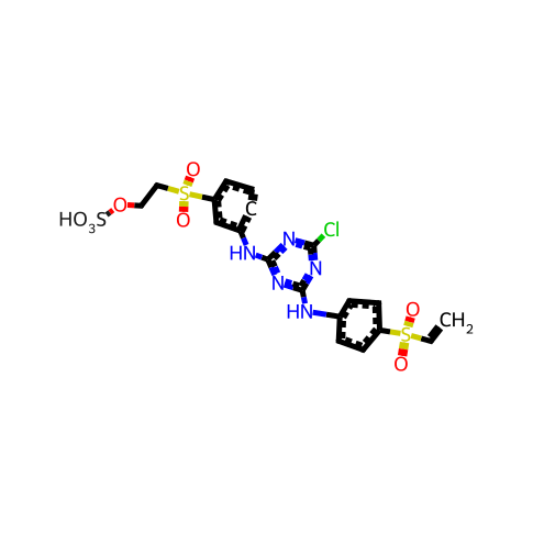 C=CS(=O)(=O)c1ccc(Nc2nc(Cl)nc(Nc3cccc(S(=O)(=O)CCOS(=O)(=O)O)c3)n2)cc1